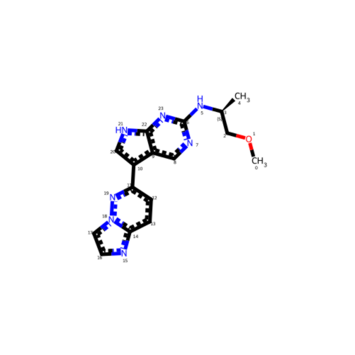 COC[C@H](C)Nc1ncc2c(-c3ccc4nccn4n3)c[nH]c2n1